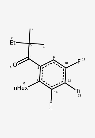 CCCCCCc1c(C(=O)C(C)(C)CC)cc(F)[c]([Ti])c1F